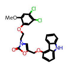 COc1cc(Cl)c(Cl)cc1OCCn1cc(COc2cccc3[nH]c4ccccc4c23)oc1=O